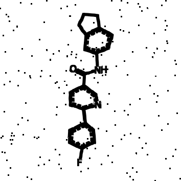 O=C(Nc1ccc2c(c1)CCC2)c1ccc(-c2ccc(F)cc2)nc1